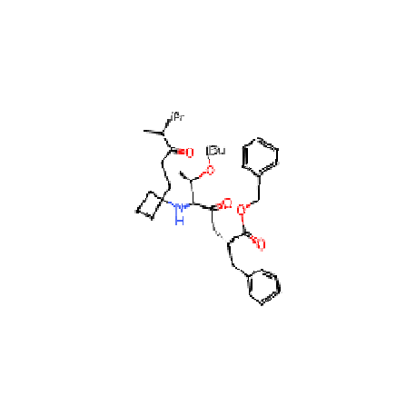 CC(C)[C@H](C)C(=O)CCC1(N[C@H](C(=O)C[C@@H](Cc2ccccc2)C(=O)OCc2ccccc2)[C@@H](C)OC(C)(C)C)CCC1